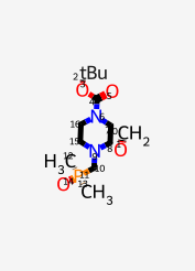 C=O.CC(C)(C)OC(=O)N1CCN(CP(C)(C)=O)CC1